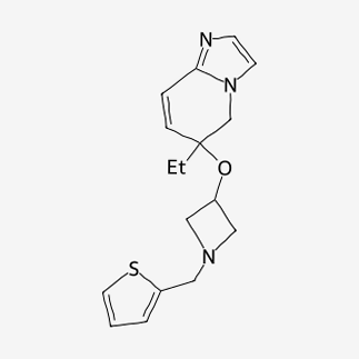 CCC1(OC2CN(Cc3cccs3)C2)C=Cc2nccn2C1